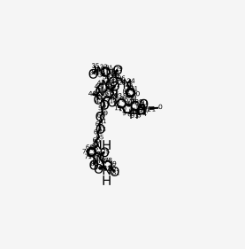 CC#C[C@]12CC[C@H]3[C@@H]4CCC5=CC(=O)CCC5=C4[C@@H](c4ccc(N(C)CCCC(=O)N5CCN(C(C)=O)CC5C(=O)N5CCN(C(C)=O)CC5C(=O)N(C)CCCOCCOCCOCCCNc5cccc6c5C(=O)N(C5CCC(=O)NC5=O)C6=O)cc4)C[C@@]31O2